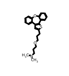 CN(C)CCCOCCCc1cc2c(s1)-c1ccccc1Oc1ccccc1-2